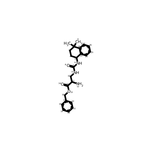 CC1(C)CCC(NC(=O)NCC(N)C(=O)OCc2ccccc2)c2ccccc21